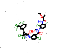 CCOC(C)C(=O)Nc1c(F)ccc(N(C)C(=O)c2cc(N/C(O)=C3/[C@H](c4ccc(F)c(C(F)(F)F)c4)C3(Cl)Cl)ccc2Cl)c1F